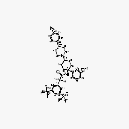 CC(C)(C(=O)NC1(c2ccccc2)CCC(N2CCC(c3ccc(F)cc3)CC2)CC1)c1cc(C(F)(F)F)cc(C(F)(F)F)c1.Cl